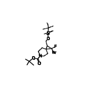 CC(C)(C)OC(=O)N1CCC2(CC1)C(CO[Si](C)(C)C(C)(C)C)C2(F)Br